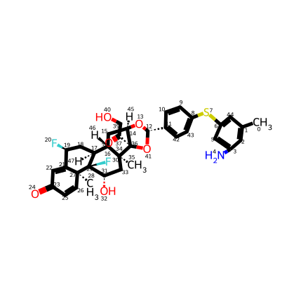 Cc1cc(N)cc(Sc2ccc([C@H]3O[C@@H]4C[C@H]5[C@@H]6C[C@H](F)C7=CC(=O)C=C[C@]7(C)[C@@]6(F)[C@@H](O)C[C@]5(C)[C@]4(C(=O)CO)O3)cc2)c1